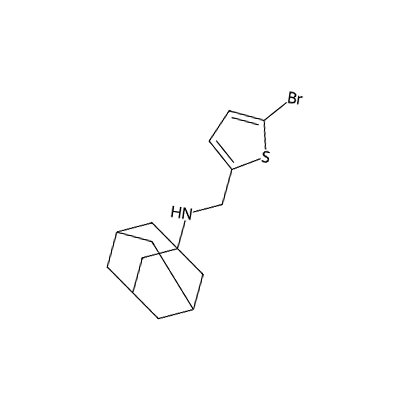 Brc1ccc(CNC23CC4CC(CC(C4)C2)C3)s1